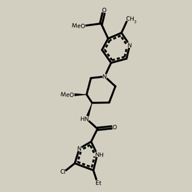 CCc1[nH]c(C(=O)N[C@@H]2CCN(c3cnc(C)c(C(=O)OC)c3)C[C@@H]2OC)nc1Cl